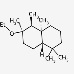 CCO[C@]1(C)CC[C@H]2C(C)(C)CCC[C@]2(C)[C@@H]1C